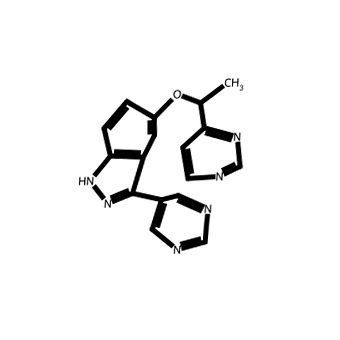 CC(Oc1ccc2[nH]nc(-c3cncnc3)c2c1)c1ccncn1